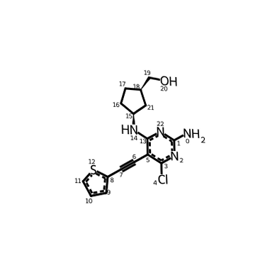 Nc1nc(Cl)c(C#Cc2cccs2)c(N[C@H]2CC[C@@H](CO)C2)n1